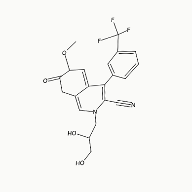 COC1C=C2C(=CN(CC(O)CO)C(C#N)=C2c2cccc(C(F)(F)F)c2)CC1=O